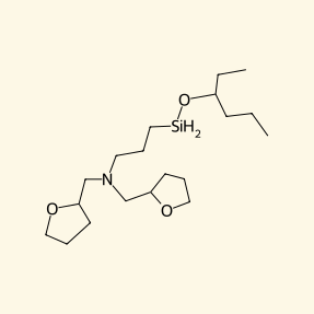 CCCC(CC)O[SiH2]CCCN(CC1CCCO1)CC1CCCO1